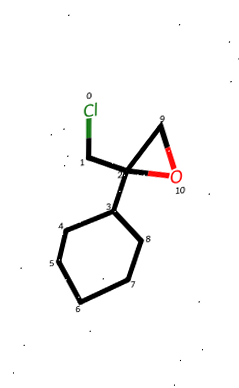 ClCC1(C2CCCCC2)CO1